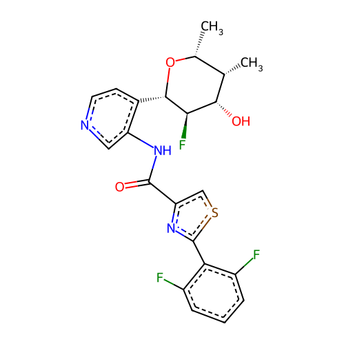 C[C@@H]1[C@H](O)[C@@H](F)[C@H](c2ccncc2NC(=O)c2csc(-c3c(F)cccc3F)n2)O[C@@H]1C